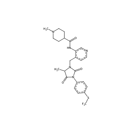 CC1C(=O)N(c2ccc(SC(F)(F)F)cc2)C(=O)N1Cc1ccncc1NC(=O)C1CCN(C)CC1